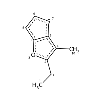 CCc1oc2ccsc2c1C